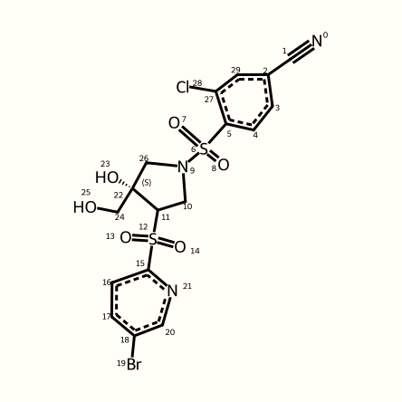 N#Cc1ccc(S(=O)(=O)N2CC(S(=O)(=O)c3ccc(Br)cn3)[C@@](O)(CO)C2)c(Cl)c1